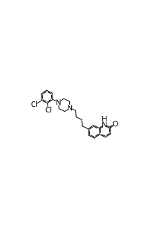 O=c1ccc2ccc(CCCCN3CCN(c4cccc(Cl)c4Cl)CC3)cc2[nH]1